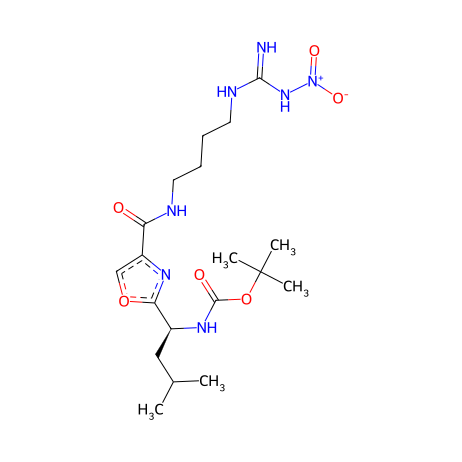 CC(C)C[C@H](NC(=O)OC(C)(C)C)c1nc(C(=O)NCCCCNC(=N)N[N+](=O)[O-])co1